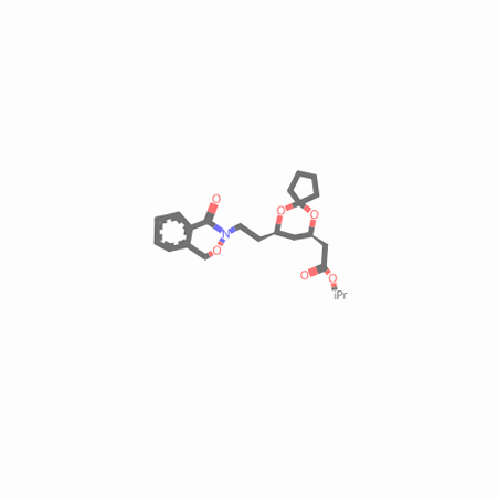 CC(C)OC(=O)C[C@H]1C[C@@H](CCN2OCc3ccccc3C2=O)OC2(CCCC2)O1